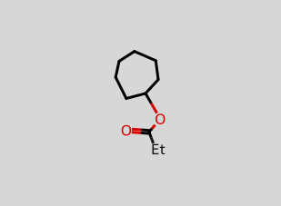 [CH2]CC(=O)OC1CCCCCC1